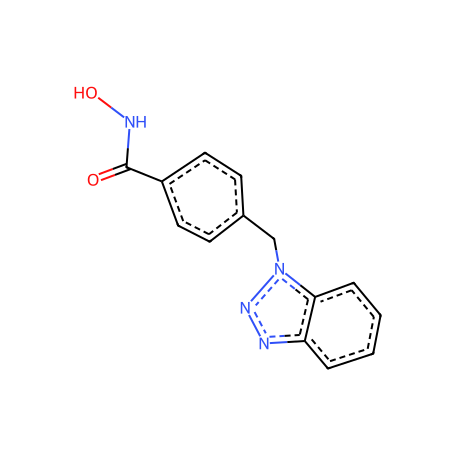 O=C(NO)c1ccc(Cn2nnc3ccccc32)cc1